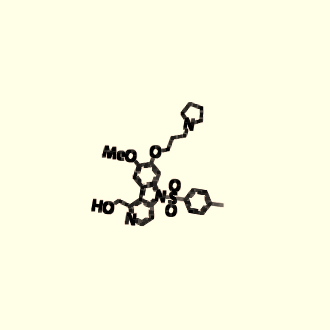 COc1cc2c3c(CO)nccc3n(S(=O)(=O)c3ccc(C)cc3)c2cc1OCCCN1CCCC1